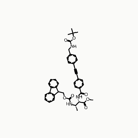 COC(=O)[C@@H](NC(=O)c1ccc(C#Cc2ccc(CNC(=O)OC(C)(C)C)cc2)cc1)[C@@H](C)NC(=O)OCC1c2ccccc2-c2ccccc21